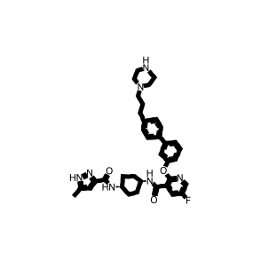 Cc1cc(C(=O)N[C@H]2CC[C@@H](NC(=O)c3cc(F)cnc3Oc3cccc(-c4ccc(CCCN5CCNCC5)cc4)c3)CC2)n[nH]1